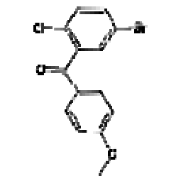 COc1ccc(C(=O)c2cc(Br)ccc2Cl)cc1